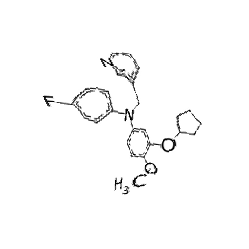 COc1ccc(N(Cc2cccnc2)c2ccc(F)cc2)cc1OC1CCCC1